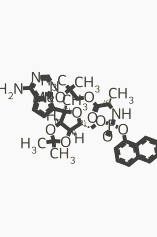 COC(C)(C)COC(=O)[C@H](C)NP(=O)(OC[C@H]1O[C@@](C)(c2ccc3c(N)ncnn23)[C@@H]2OC(C)(C)O[C@@H]21)Oc1cccc2ccccc12